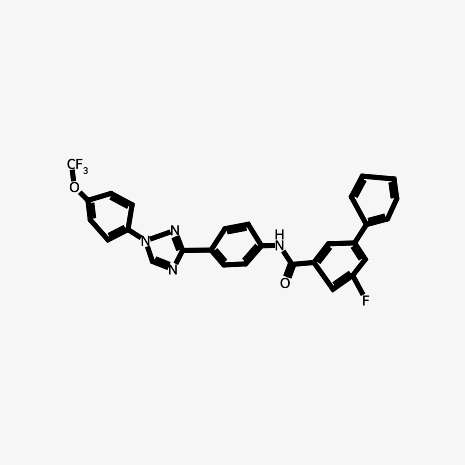 O=C(Nc1ccc(-c2ncn(-c3ccc(OC(F)(F)F)cc3)n2)cc1)c1cc(F)cc(-c2ccccc2)c1